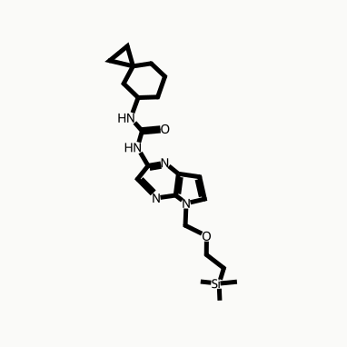 C[Si](C)(C)CCOCn1ccc2nc(NC(=O)NC3CCCC4(CC4)C3)cnc21